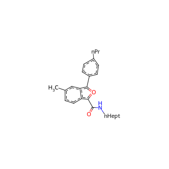 CCCCCCCNC(=O)c1oc(-c2ccc(CCC)cc2)c2cc(C)ccc12